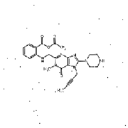 CC#CCn1c(N2CCNCC2)nc2nc(CNc3ccccc3C(=O)OC(=O)C(F)(F)F)n(C)c(=O)c21